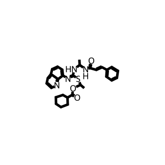 CC(NC(=O)/C=C/c1ccccc1)N/C(=N\c1cccc2cccnc12)SC(C)OC(=O)C1CCCCC1